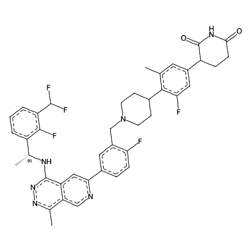 Cc1cc(C2CCC(=O)NC2=O)cc(F)c1C1CCN(Cc2cc(-c3cc4c(N[C@H](C)c5cccc(C(F)F)c5F)nnc(C)c4cn3)ccc2F)CC1